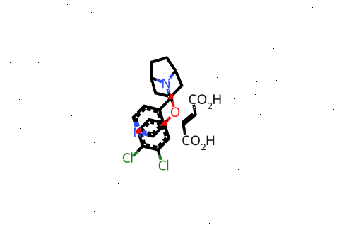 Clc1ccc(OC2CC3CCC(C2)N3Cc2ccncc2)cc1Cl.O=C(O)/C=C/C(=O)O